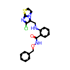 O=C(NOCc1ccccc1)c1ccccc1NCc1c(Cl)nc2sccn12